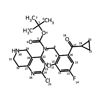 CC(C)(C)OC(=O)N(Cc1c(Cl)cc(F)cc1C(=O)C1CC1)c1nc(Cl)nc2c1CNCC2